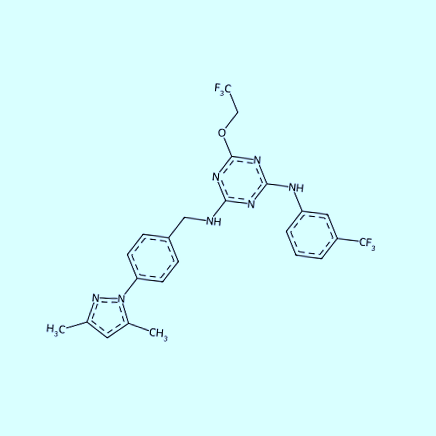 Cc1cc(C)n(-c2ccc(CNc3nc(Nc4cccc(C(F)(F)F)c4)nc(OCC(F)(F)F)n3)cc2)n1